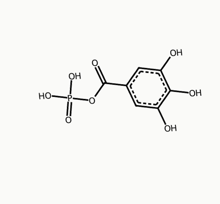 O=C(OP(=O)(O)O)c1cc(O)c(O)c(O)c1